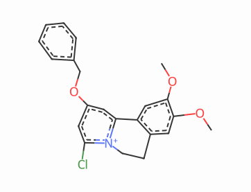 COc1cc2c(cc1OC)-c1cc(OCc3ccccc3)cc(Cl)[n+]1CC2